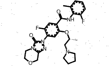 Cc1cccc(F)c1NC(=O)c1cc(F)c(-n2nc3n(c2=O)CCOC3)cc1O[C@H](C)CN1CCCC1